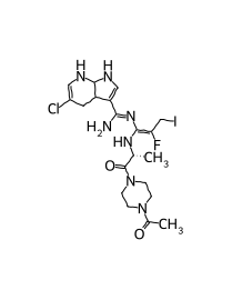 CC(=O)N1CCN(C(=O)[C@@H](C)NC(/N=C(\N)C2=CNC3NC=C(Cl)CC23)=C(\F)CI)CC1